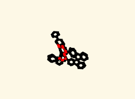 c1ccc(-c2ccc(N(c3ccc4c(c3)C3(c5ccccc5-c5ccc(N(c6ccccc6)c6ccccc6)cc53)c3ccccc3-4)c3ccc4oc5ccccc5c4c3)cc2)cc1